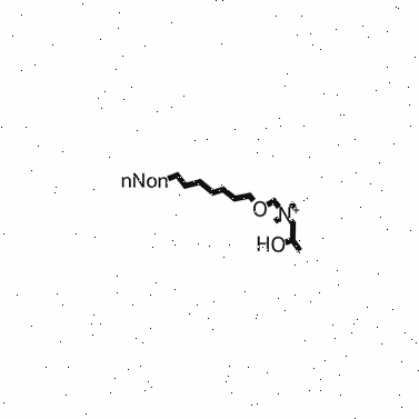 CCCCCCCCCCCCCCCCOC[N+](C)(C)CC(C)O